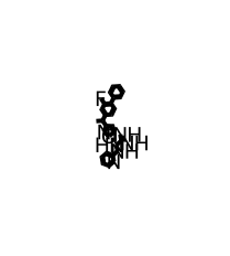 CC(c1ccc(-c2ccccc2)c(F)c1)c1cc(NC(=N)NNc2ccccn2)on1